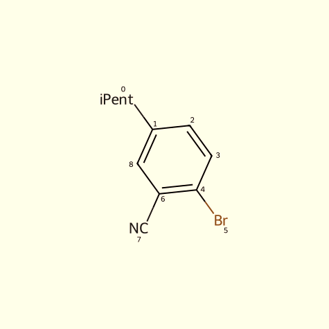 CCCC(C)c1ccc(Br)c(C#N)c1